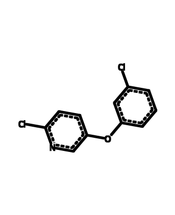 Clc1cccc(Oc2ccc(Cl)nc2)c1